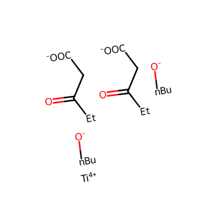 CCC(=O)CC(=O)[O-].CCC(=O)CC(=O)[O-].CCCC[O-].CCCC[O-].[Ti+4]